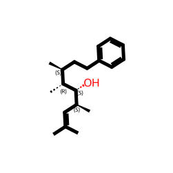 CC(C)=C[C@H](C)[C@@H](O)[C@H](C)[C@@H](C)CCc1ccccc1